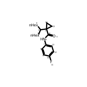 CCCCCCC(CCCCCC)C1(C(=O)Nc2ccc(F)cc2)CC1